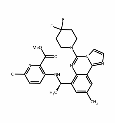 COC(=O)c1nc(Cl)ccc1N[C@H](C)c1cc(C)cc2c1nc(N1CCC(F)(F)CC1)n1ccnc21